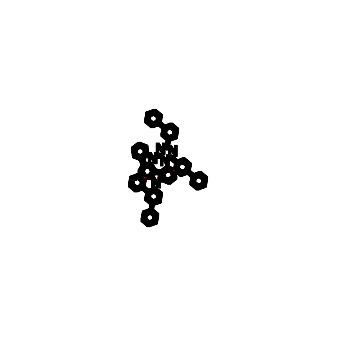 c1ccc(-c2ccc(-c3nc(-c4cccc(-c5ccccc5)c4)nc(-n4c5ccccc5c5ccc6c(c7ccccc7n6-c6ccc(-c7ccccc7)cc6-c6ccccc6)c54)n3)cc2)cc1